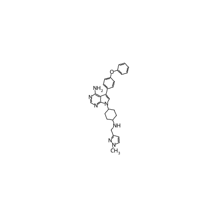 Cn1ccc(CNC2CCC(n3cc(-c4ccc(Oc5ccccc5)cc4)c4c(N)ncnc43)CC2)n1